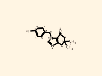 CC1(C)CC(=O)c2c(ncn2Cc2ccc(F)cc2)C1